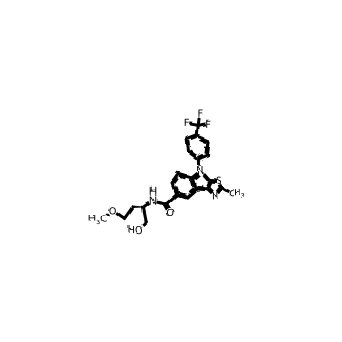 COCC[C@H](CO)NC(=O)c1ccc2c(c1)c1nc(C)sc1n2-c1ccc(C(F)(F)F)cc1